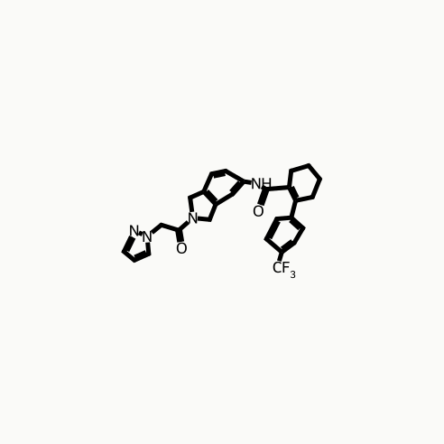 O=C(Nc1ccc2c(c1)CN(C(=O)Cn1cccn1)C2)C1=C(c2ccc(C(F)(F)F)cc2)CCCC1